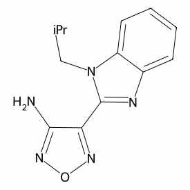 CC(C)Cn1c(-c2nonc2N)nc2ccccc21